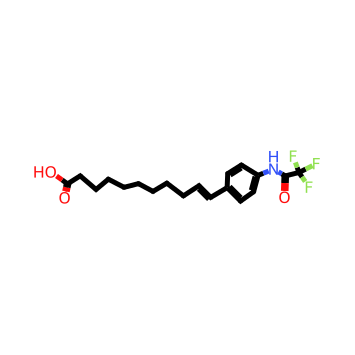 O=C(O)CCCCCCCCC=Cc1ccc(NC(=O)C(F)(F)F)cc1